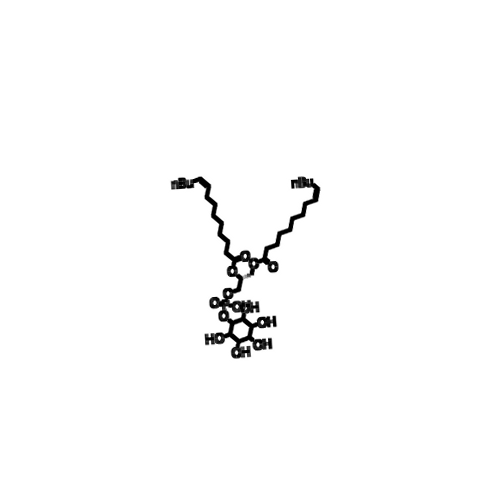 CCCC/C=C\CCCCCCCC(=O)OC[C@H](COP(=O)(O)OC1C(O)C(O)C(O)[C@@H](O)C1O)OC(=O)CCCCCCC/C=C\CCCC